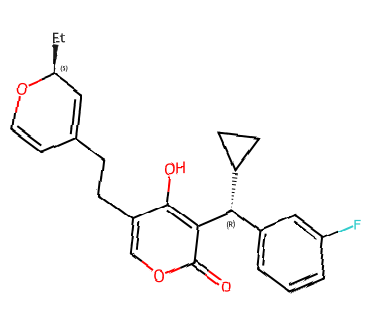 CC[C@H]1C=C(CCc2coc(=O)c([C@@H](c3cccc(F)c3)C3CC3)c2O)C=CO1